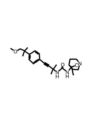 COCC(C)(C)c1ccc(C#CC(C)(C)NC(=O)NC2(C)CN3CCC2CC3)cc1